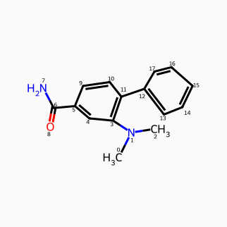 CN(C)c1cc(C(N)=O)ccc1-c1ccccc1